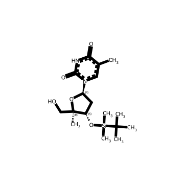 Cc1cn([C@H]2C[C@H](O[Si](C)(C)C(C)(C)C)[C@@](C)(CO)O2)c(=O)[nH]c1=O